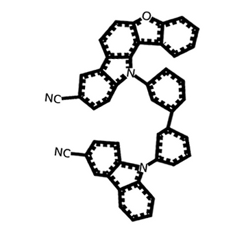 N#Cc1ccc2c(c1)c1ccccc1n2-c1cccc(-c2cccc(-n3c4ccc(C#N)cc4c4ccc5oc6ccccc6c5c43)c2)c1